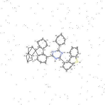 c1ccc(-c2nc(-c3cccc4c3-c3ccccc3C43C4CC5CC(C4)C3C5)nc(-c3cccc4sc5ccccc5c34)n2)cc1